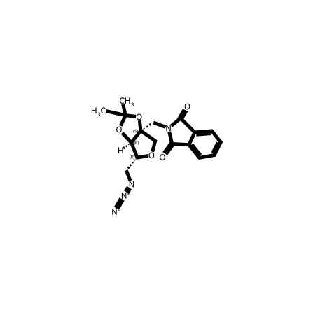 CC1(C)O[C@@H]2[C@@H](CN=[N+]=[N-])OC[C@]2(CN2C(=O)c3ccccc3C2=O)O1